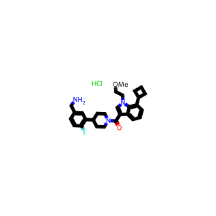 COCCn1cc(C(=O)N2CCC(c3cc(CN)ccc3F)CC2)c2cccc(C3CCC3)c21.Cl